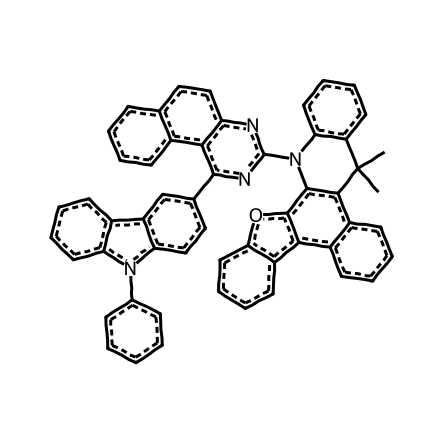 CC1(C)c2ccccc2N(c2nc(-c3ccc4c(c3)c3ccccc3n4-c3ccccc3)c3c(ccc4ccccc43)n2)c2c1c1ccccc1c1c2oc2ccccc21